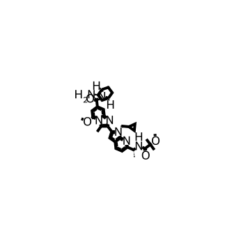 COc1cc(C(=O)N2[C@H]3CC[C@@H]2[C@H](N)C3)cc2nc(-c3cc4ccc([C@@H](C)NC(=O)C(C)(C)OC)nc4n3CC3CC3)c(C)n12